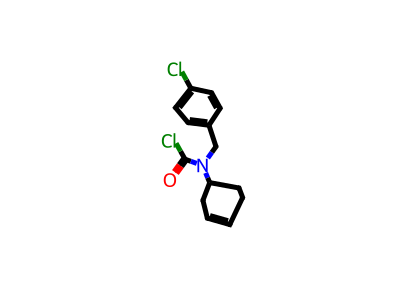 O=C(Cl)N(Cc1ccc(Cl)cc1)C1CC=CCC1